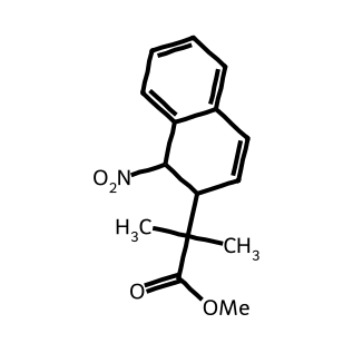 COC(=O)C(C)(C)C1C=Cc2ccccc2C1[N+](=O)[O-]